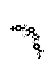 CCOC(=O)c1ccc(Nc2ncnc(-c3cccc(NC(=O)c4ccc(C(C)(C)C)cc4)c3CN)n2)cc1